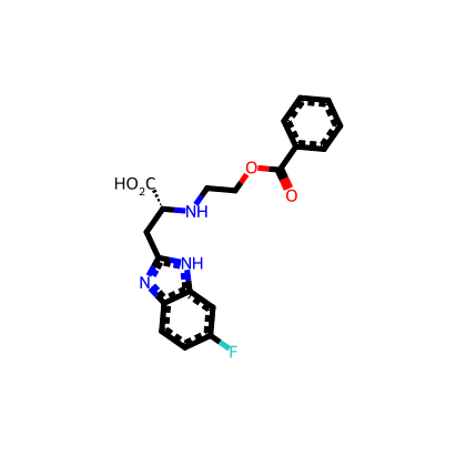 O=C(OCCN[C@H](Cc1nc2ccc(F)cc2[nH]1)C(=O)O)c1ccccc1